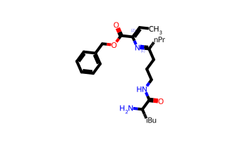 C/C=C(\N=C(/CCC)CCCNC(=O)C(N)C(C)CC)C(=O)OCc1ccccc1